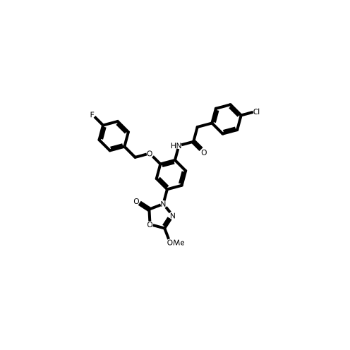 COc1nn(-c2ccc(NC(=O)Cc3ccc(Cl)cc3)c(OCc3ccc(F)cc3)c2)c(=O)o1